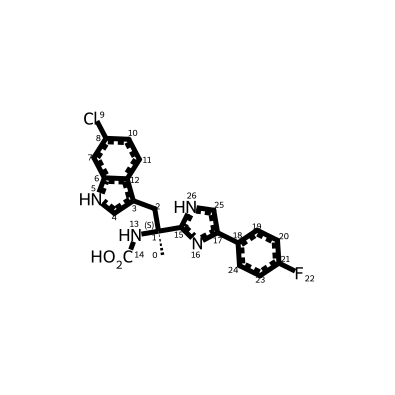 C[C@@](Cc1c[nH]c2cc(Cl)ccc12)(NC(=O)O)c1nc(-c2ccc(F)cc2)c[nH]1